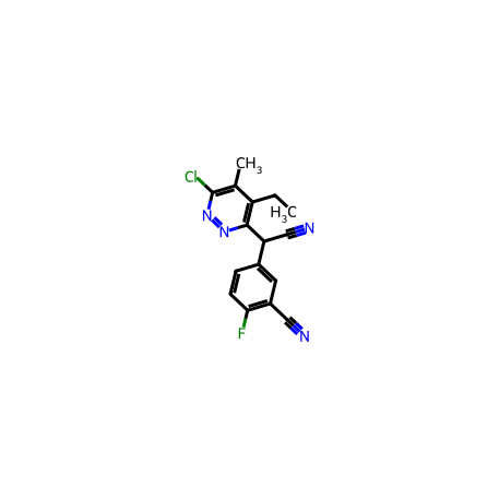 CCc1c(C(C#N)c2ccc(F)c(C#N)c2)nnc(Cl)c1C